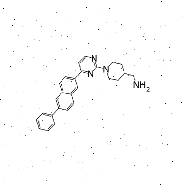 NCC1CCN(c2nccc(-c3ccc4cc(-c5ccccc5)ccc4c3)n2)CC1